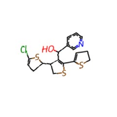 OC(C1=C(C2=CCCS2)SCC1C1CC=C(Cl)S1)c1cccnc1